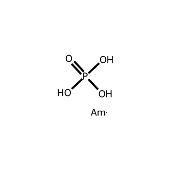 O=P(O)(O)O.[Am]